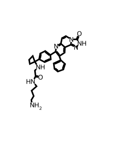 NCCCCNC(=O)CNC1(c2ccc(-c3nc4ccn5c(=O)[nH]nc5c4cc3-c3ccccc3)cc2)CCC1